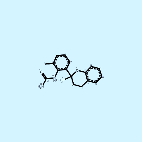 Cc1cccc(C2(C(=O)O)CCc3ccccc3O2)c1NC(N)=O